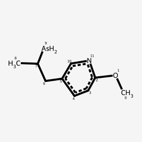 COc1ccc(CC(C)[AsH2])cn1